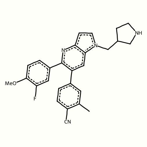 COc1ccc(-c2nc3ccn(CC4CCNC4)c3cc2-c2ccc(C#N)c(C)c2)cc1F